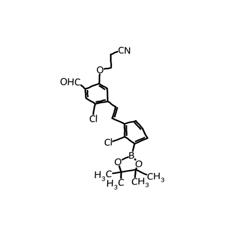 CC1(C)OB(c2cccc(C=Cc3cc(OCCC#N)c(C=O)cc3Cl)c2Cl)OC1(C)C